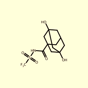 O=C(NS(=O)(=O)C(F)(F)F)C12CC3CC(O)(CC(O)(C3)C1)C2